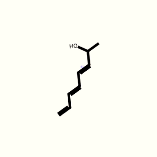 C=CC=C/C=C/C(C)O